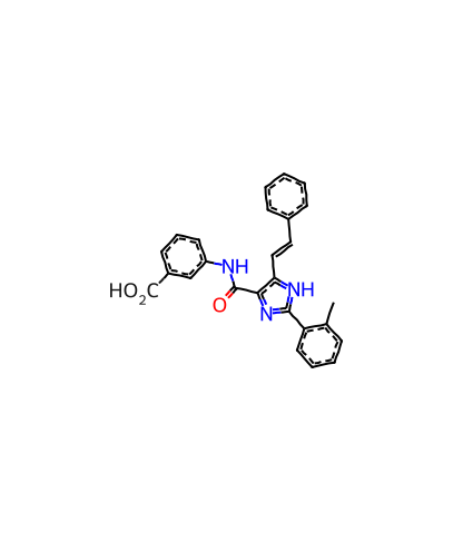 Cc1ccccc1-c1nc(C(=O)Nc2cccc(C(=O)O)c2)c(C=Cc2ccccc2)[nH]1